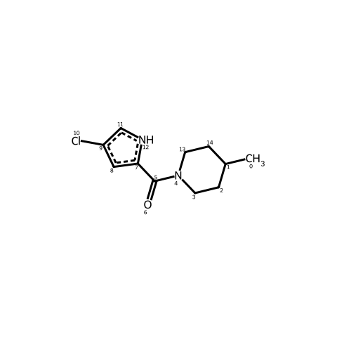 CC1CCN(C(=O)c2cc(Cl)c[nH]2)CC1